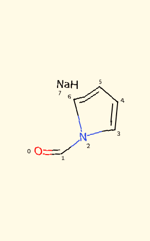 O=Cn1cccc1.[NaH]